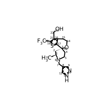 C[C@H]1C[C@@]2(CCN1Cc1cn[nH]c1)OCCc1c2sc(C(F)(F)F)c1CO